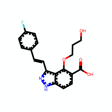 O=C(O)c1ccc2[nH]nc(C=Cc3ccc(F)cc3)c2c1OCCCO